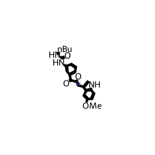 CCCCNC(=O)Nc1ccc2c(c1)C(=O)/C(=C/c1c[nH]c3ccc(OC)cc13)O2